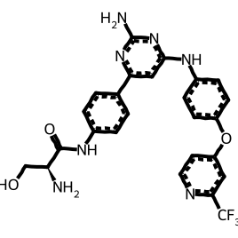 Nc1nc(Nc2ccc(Oc3ccnc(C(F)(F)F)c3)cc2)cc(-c2ccc(NC(=O)[C@@H](N)CO)cc2)n1